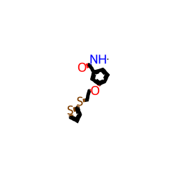 [NH]C(=O)c1cccc(OCCSc2cccs2)c1